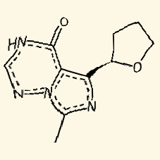 Cc1nc([C@H]2CCCO2)c2c(=O)[nH]cnn12